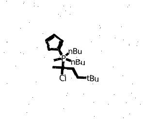 CCCCP(C)(CCCC)(C1=CC=CC1)C(C)(Cl)CCC(C)(C)C